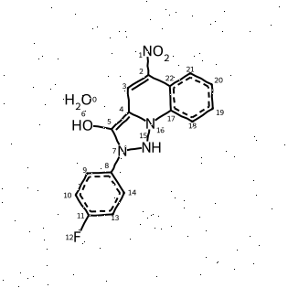 O.O=[N+]([O-])C1=CC2=C(O)N(c3ccc(F)cc3)NN2c2ccccc21